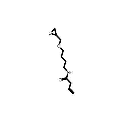 C=CCC(=O)NCCCCOCC1CO1